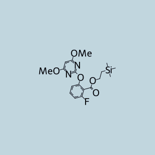 COc1cc(OC)nc(Oc2cccc(F)c2C(=O)OCC[Si](C)(C)C)n1